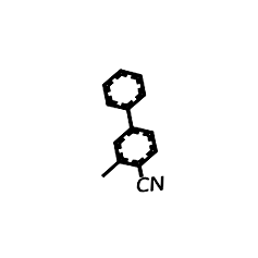 Cc1cc(-c2ccccc2)ccc1C#N